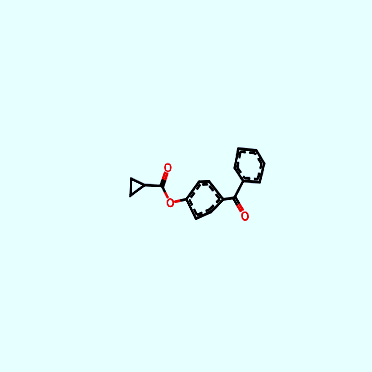 O=C(c1ccccc1)c1ccc(OC(=O)C2CC2)cc1